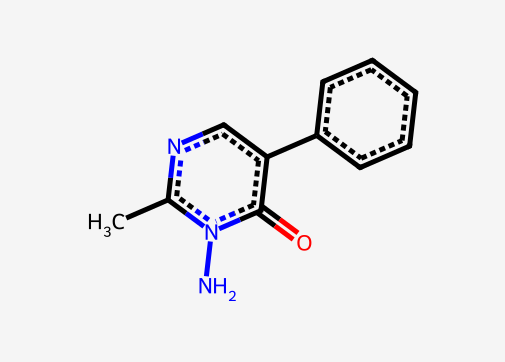 Cc1ncc(-c2ccccc2)c(=O)n1N